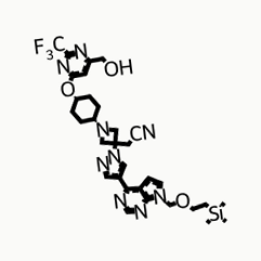 C[Si](C)(C)CCOCn1ccc2c(-c3cnn(C4(CC#N)CN([C@H]5CC[C@@H](Oc6cc(CO)nc(C(F)(F)F)n6)CC5)C4)c3)ncnc21